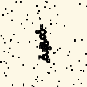 O=C1NCCc2cc(N3CC[C@@](O)(C(=O)NCc4cc(F)cc(Cl)c4)C3=O)ccc21